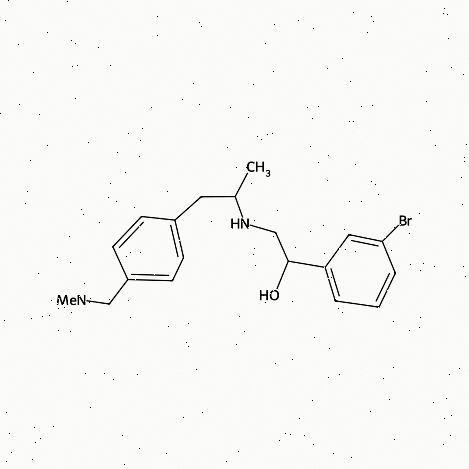 CNCc1ccc(CC(C)NCC(O)c2cccc(Br)c2)cc1